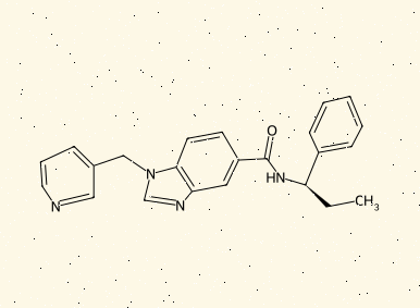 CC[C@@H](NC(=O)c1ccc2c(c1)ncn2Cc1cccnc1)c1ccccc1